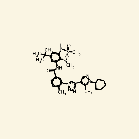 COc1c(NC(=O)c2ccc(C)c(-n3cc(-c4cnn(C5CCCCC5)c4C)nn3)c2)cc(C(C)(C)C)cc1NS(C)(=O)=O